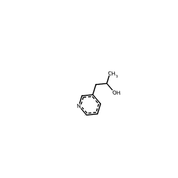 CC(O)Cc1cc[c]nc1